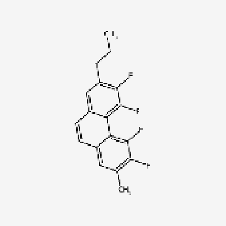 CCCc1cc2ccc3cc(C)c(F)c(F)c3c2c(F)c1F